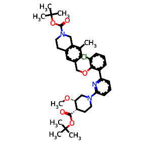 CO[C@@H]1CN(c2cccc(-c3cccc(Cl)c3OCc3cc(C)c4c(c3)CCN(C(=O)OC(C)(C)C)C4)n2)CC[C@@H]1C(=O)OC(C)(C)C